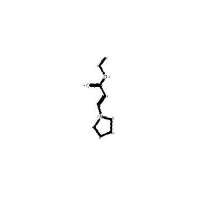 CCOC(=O)C=CN1CCCC1